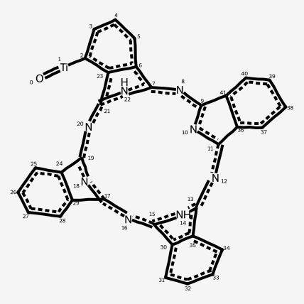 [O]=[Ti][c]1cccc2c3nc4nc(nc5[nH]c(nc6nc(nc([nH]3)c12)-c1ccccc1-6)c1ccccc51)-c1ccccc1-4